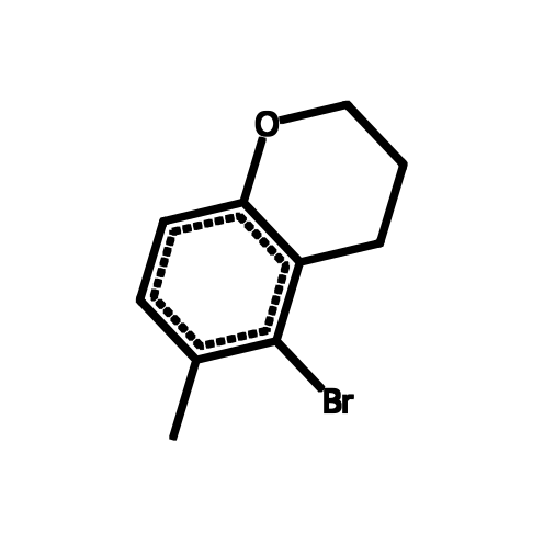 Cc1ccc2c(c1Br)CCCO2